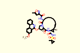 Cc1cc(C(=O)N[C@H]2CCCCC/C=C\[C@@H]3C[C@@]3(C(=O)NS(=O)(=O)C3(C)CC3)NC(=O)[C@@H]3C[C@@H](Oc4nc5ccccc5c5ccc(OC(F)(F)F)cc45)CN3C2=O)no1